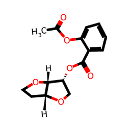 CC(=O)Oc1ccccc1C(=O)O[C@@H]1CO[C@@H]2CCO[C@@H]21